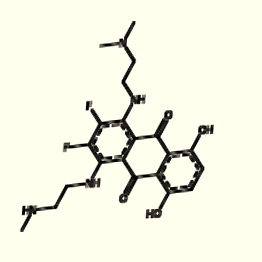 CNCCNc1c(F)c(F)c(NCCN(C)C)c2c1C(=O)c1c(O)ccc(O)c1C2=O